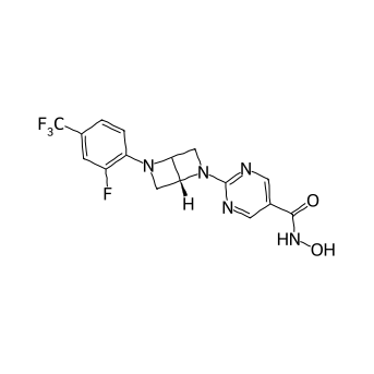 O=C(NO)c1cnc(N2CC3[C@H]2CN3c2ccc(C(F)(F)F)cc2F)nc1